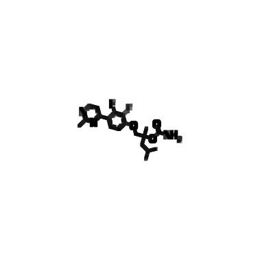 Cc1nccc(-c2ccc(OCC(C)(CC(C)C)OC(N)=O)c(F)c2F)n1